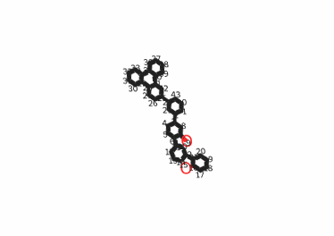 c1cc(-c2ccc3c(c2)oc2c3ccc3oc4ccccc4c32)cc(-c2ccc3c4ccccc4c4ccccc4c3c2)c1